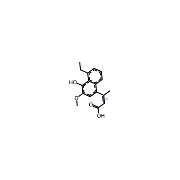 CCc1cccc2c(/C(C)=C\C(=O)O)cc(OC)c(O)c12